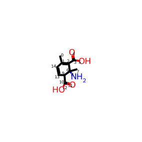 CC1=C(C(=O)O)C(C)(N)C(C(=O)O)C=C1